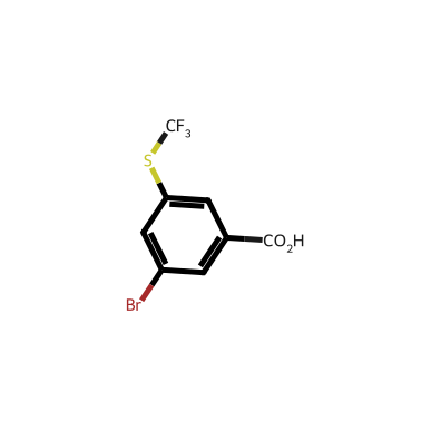 O=C(O)c1cc(Br)cc(SC(F)(F)F)c1